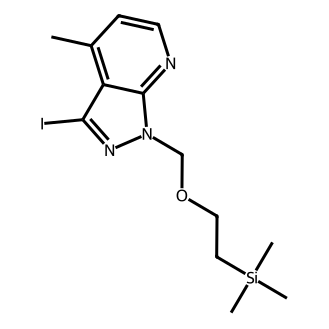 Cc1ccnc2c1c(I)nn2COCC[Si](C)(C)C